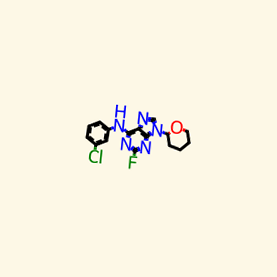 Fc1nc(Nc2cccc(Cl)c2)c2ncn(C3CCCCO3)c2n1